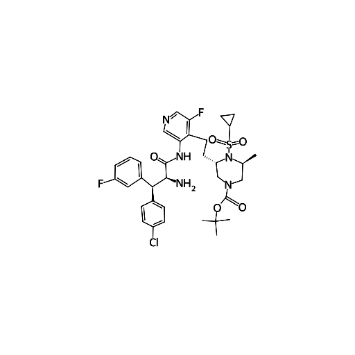 C[C@H]1CN(C(=O)OC(C)(C)C)C[C@H](CCc2c(F)cncc2NC(=O)[C@@H](N)[C@@H](c2ccc(Cl)cc2)c2cccc(F)c2)N1S(=O)(=O)C1CC1